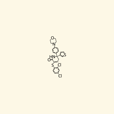 O=C1NC(c2ccc(N3CCOCC3)cc2)(c2ccsc2)C[C]=C1Sc1ccc(Cl)cc1Cl